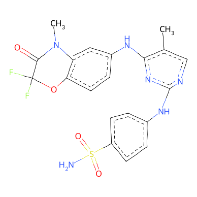 Cc1cnc(Nc2ccc(S(N)(=O)=O)cc2)nc1Nc1ccc2c(c1)N(C)C(=O)C(F)(F)O2